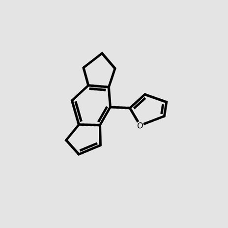 C1=Cc2c(cc3c(c2-c2ccco2)CCC3)C1